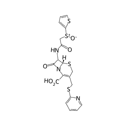 O=C(C[S+]([O-])c1cccs1)NC1C(=O)N2C(C(=O)O)=C(CSc3ccccn3)CS[C@@H]12